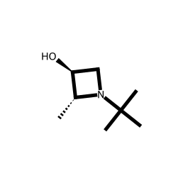 C[C@@H]1[C@@H](O)CN1C(C)(C)C